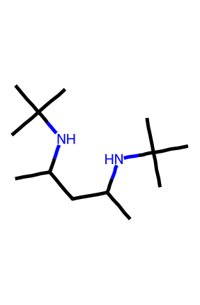 CC(CC(C)NC(C)(C)C)NC(C)(C)C